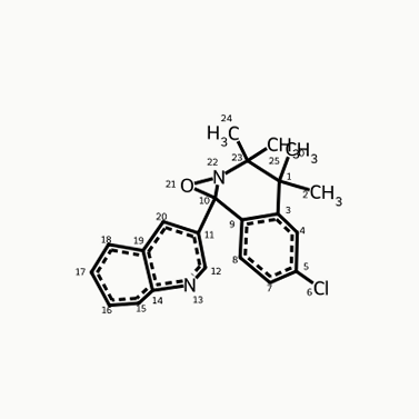 CC1(C)c2cc(Cl)ccc2C2(c3cnc4ccccc4c3)ON2C1(C)C